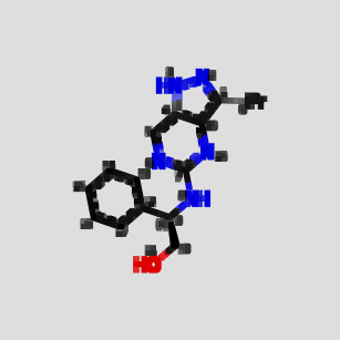 CC(C)c1n[nH]c2cnc(N[C@@H](CO)c3ccccc3)nc12